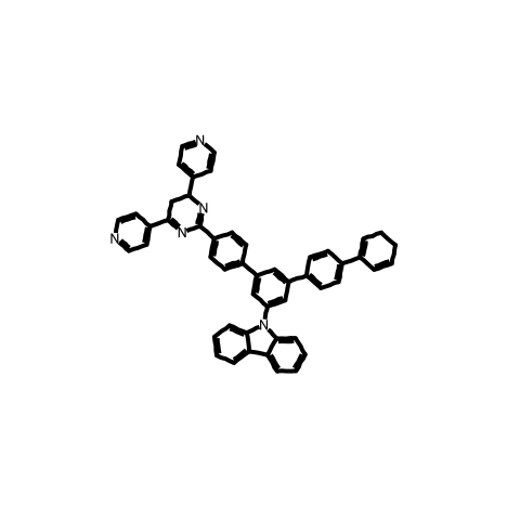 C1=CC(c2ccc(-c3cc(-c4ccc(C5=NC(c6ccncc6)CC(c6ccncc6)=N5)cc4)cc(-n4c5ccccc5c5ccccc54)c3)cc2)=CCC1